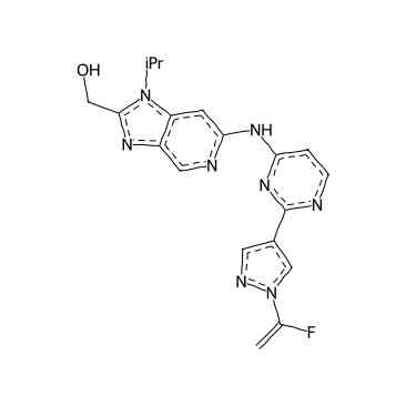 C=C(F)n1cc(-c2nccc(Nc3cc4c(cn3)nc(CO)n4C(C)C)n2)cn1